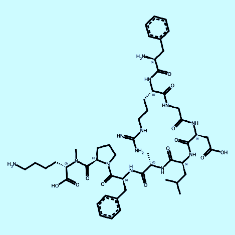 CC(C)C[C@H](NC(=O)[C@H](CC(=O)O)NC(=O)CNC(=O)[C@H](CCCNC(=N)N)NC(=O)[C@@H](N)Cc1ccccc1)C(=O)N[C@@H](C)C(=O)N[C@@H](Cc1ccccc1)C(=O)N1CCC[C@@H]1C(=O)N(C)[C@@H](CCCCN)C(=O)O